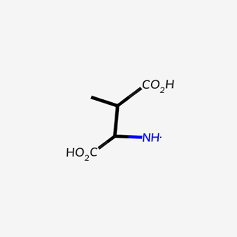 CC(C(=O)O)C([NH])C(=O)O